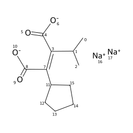 CC(C)/C(C(=O)[O-])=C(/C(=O)[O-])C1CCCC1.[Na+].[Na+]